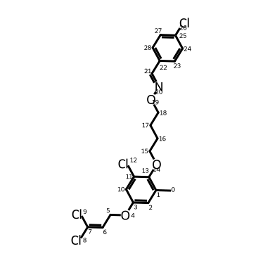 Cc1cc(OCC=C(Cl)Cl)cc(Cl)c1OCCCCON=Cc1ccc(Cl)cc1